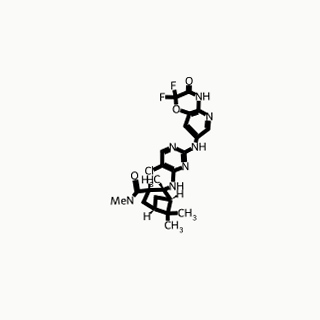 CNC(=O)[C@H]1C[C@H]2C[C@H](C2(C)C)[C@@]1(C)Nc1nc(Nc2cnc3c(c2)OC(F)(F)C(=O)N3)ncc1Cl